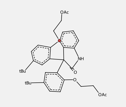 CC(=O)OCCOc1ccc(C(C)(C)C)cc1C1(c2cc(C(C)(C)C)ccc2OCCOC(C)=O)C(=O)Nc2ccccc21